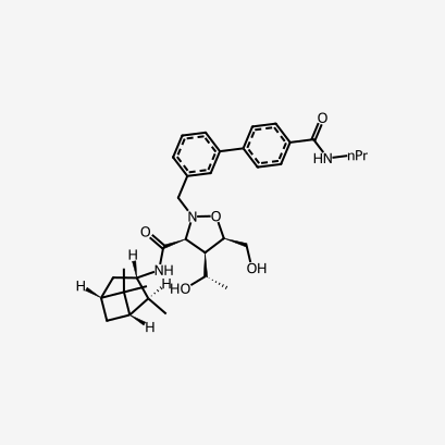 CCCNC(=O)c1ccc(-c2cccc(CN3O[C@@H](CO)[C@@H]([C@H](C)O)[C@H]3C(=O)N[C@H]3C[C@H]4C[C@@H]([C@@H]3C)C4(C)C)c2)cc1